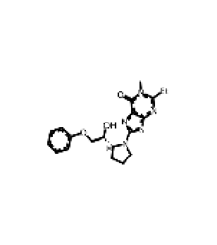 CCc1nc2sc(N3CCC[C@@H]3C(O)COc3ccccc3)nc2c(=O)n1C